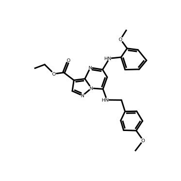 CCOC(=O)c1cnn2c(NCc3ccc(OC)cc3)cc(Nc3ccccc3OC)nc12